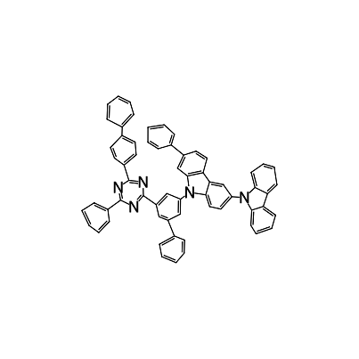 c1ccc(-c2ccc(-c3nc(-c4ccccc4)nc(-c4cc(-c5ccccc5)cc(-n5c6ccc(-n7c8ccccc8c8ccccc87)cc6c6ccc(-c7ccccc7)cc65)c4)n3)cc2)cc1